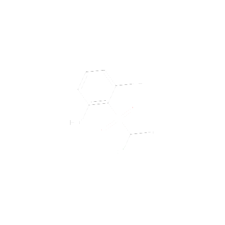 CCC(Cl)S(=O)(=O)c1c(C)cccc1C